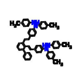 Cc1ccc(NN(c2ccc(C)cc2)c2ccc(C=Cc3cccc(-c4ccccc4)c3C=Cc3ccc(N(Nc4ccc(C)cc4)c4ccc(C)cc4)cc3)cc2)cc1